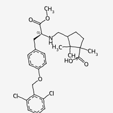 COC(=O)[C@H](Cc1ccc(OCc2c(Cl)cccc2Cl)cc1)NCC1CCC(C)(C(=O)O)C1(C)C